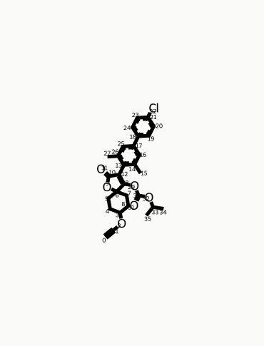 C#COC1CCC2(CC1)OC(=O)C(c1c(C)cc(-c3ccc(Cl)cc3)cc1C)=C2OC(=O)OC(C)C